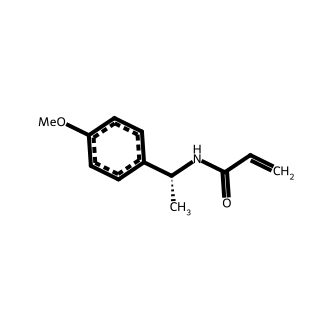 C=CC(=O)N[C@H](C)c1ccc(OC)cc1